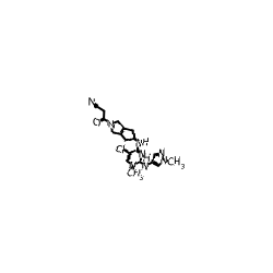 CN1C=C(Cl)C(NC2CC3CN(C(=O)CC#N)CC3C2)=NC1Nc1cnn(C)c1